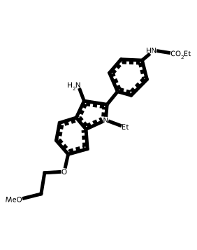 CCOC(=O)Nc1ccc(-c2c(N)c3ccc(OCCOC)cc3n2CC)cc1